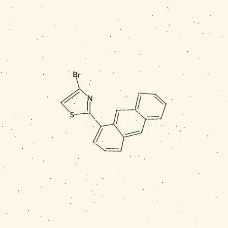 Brc1csc(-c2cccc3cc4ccccc4cc23)n1